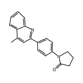 Cc1cc(-c2ccc(N3CCCC3=O)cc2)nc2ccccc12